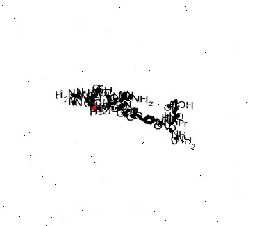 CC(CN(C)C(=O)OCc1ccc(NC(=O)[C@H](CCCNC(N)=O)NC(=O)[C@@H](NC(=O)CCN2C(=O)C=CC2O)C(C)C)cc1)OC(=O)O[C@@H]1[C@@H]2O[P@](=O)(S)OC[C@H]3O[C@@H](n4cnc5c(N)ncnc54)[C@H](O[P@](=O)(S)OC[C@H]2O[C@H]1n1cnc2c(N)ncnc21)[C@@H]3O